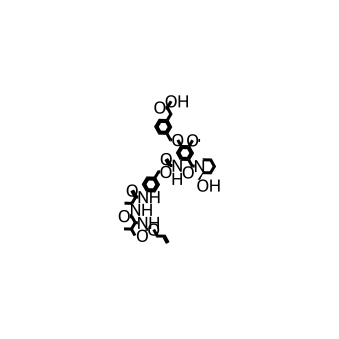 C=CCOC(=O)NC(C(=O)NC(C)C(=O)Nc1ccc(COC(=O)Nc2cc(OCc3cccc(CC(=O)O)c3)c(OC)cc2C(=O)N2CCCC[C@H]2CO)cc1)C(C)C